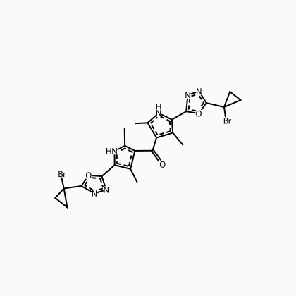 Cc1[nH]c(-c2nnc(C3(Br)CC3)o2)c(C)c1C(=O)c1c(C)[nH]c(-c2nnc(C3(Br)CC3)o2)c1C